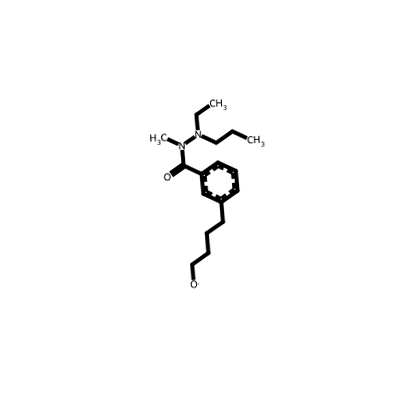 CCCN(CC)N(C)C(=O)c1cccc(CCCC[O])c1